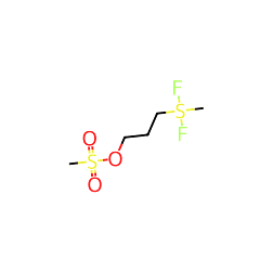 CS(F)(F)CCCOS(C)(=O)=O